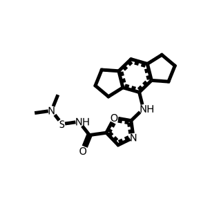 CN(C)SNC(=O)c1cnc(Nc2c3c(cc4c2CCC4)CCC3)o1